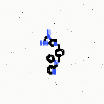 c1ccc(N(Cc2ccc(CN3CC4NCCNC4C3)cc2)Cc2ccccn2)cc1